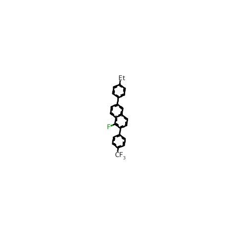 CCc1ccc(-c2ccc3c(F)c(-c4ccc(C(F)(F)F)cc4)ccc3c2)cc1